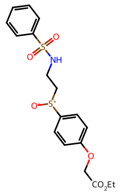 CCOC(=O)COc1ccc([S+]([O-])CCNS(=O)(=O)c2ccccc2)cc1